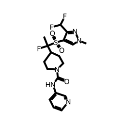 Cn1cc(S(=O)(=O)C(C)(F)C2CCN(C(=O)Nc3cccnc3)CC2)c(C(F)F)n1